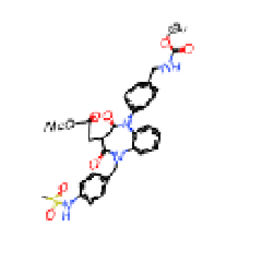 COC(=O)CC1C(=O)N(Cc2ccc(NS(C)(=O)=O)cc2)c2ccccc2N(c2ccc(CNC(=O)OC(C)(C)C)cc2)C1=O